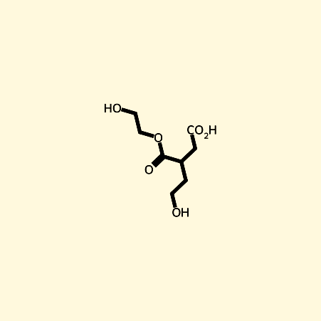 O=C(O)CC(CCO)C(=O)OCCO